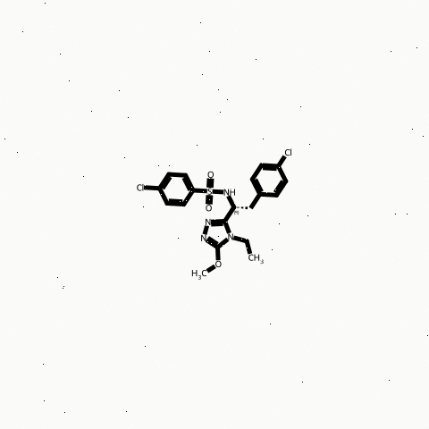 CCn1c(OC)nnc1[C@@H](Cc1ccc(Cl)cc1)NS(=O)(=O)c1ccc(Cl)cc1